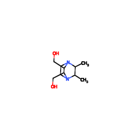 CC1C(C)N2CCN1C(CO)C2CO